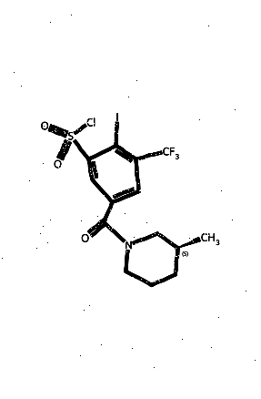 C[C@H]1CCCN(C(=O)c2cc(C(F)(F)F)c(I)c(S(=O)(=O)Cl)c2)C1